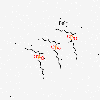 CCCCCCC(C)P(=O)([O-])C(C)CCCCCC.CCCCCCC(C)P(=O)([O-])C(C)CCCCCC.CCCCCCC(C)P(=O)([O-])C(C)CCCCCC.[Fe+3]